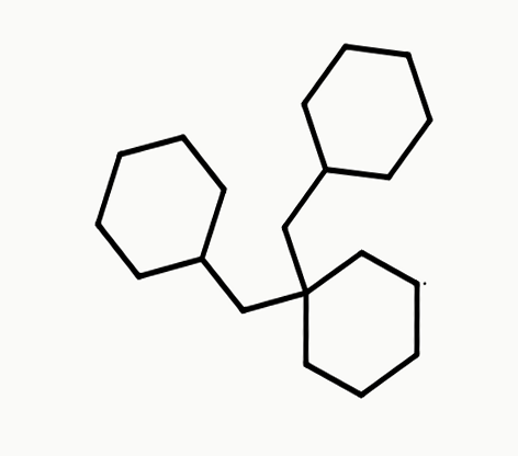 [CH]1CCCC(CC2CCCCC2)(CC2CCCCC2)C1